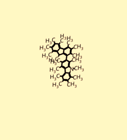 Cc1c(C)c(C)c2c(c1C)-c1c(C)c(C)c(C)c(-c3c(C)c(C)c4c5c(C)c(C)c(C)c(C)c5n(C)c4c3C)c1C2C